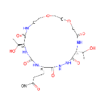 CC(O)[C@@H]1NC(=O)N[C@@H](CCC(=O)N=O)C(=O)NNC(=O)[C@@H](C(C)O)NC(=O)COCCOCCNC1=O